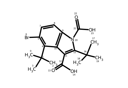 CC(C)(C)c1c(Br)ccc2c1c(C(=O)O)c(C(C)(C)C)n2C(=O)O